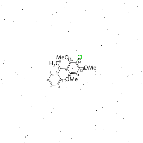 COc1ccccc1C(C)c1ccc(OC)c(Cl)c1OC